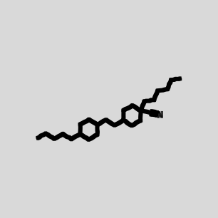 CCCCCCC1(C#N)CCC(CCC2CCC(CCCCC)CC2)CC1